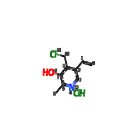 C=Cc1cnc(C)c(O)c1CCl.Cl